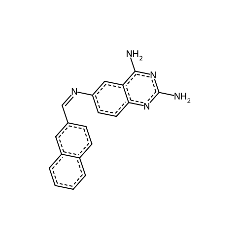 Nc1nc(N)c2cc(/N=C\c3ccc4ccccc4c3)ccc2n1